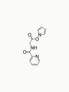 O=C(CNC(=O)c1ccccn1)On1cccc1